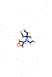 CCN(C1COC1)C(C)(CC)CC